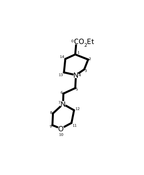 CCOC(=O)C1CCN(CCN2CCOCC2)CC1